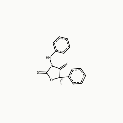 C[C@]1(c2ccccc2)OC(=S)N(Nc2ccccc2)C1=O